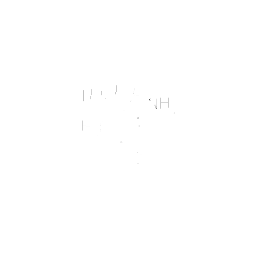 CC(C)(C)C1(N)COC1